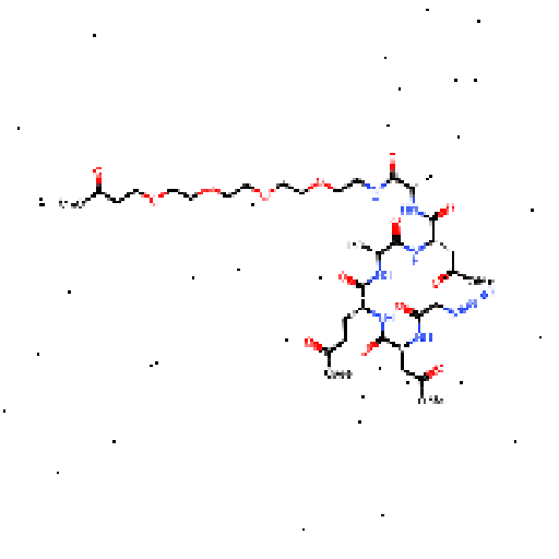 COC(=O)CCOCCOCCOCCOCCNC(=O)[C@H](C)NC(=O)[C@H](CC(=O)OC)NC(=O)[C@@H](NC(=O)[C@H](CCC(=O)OC)NC(=O)[C@H](CC(=O)OC)NC(=O)CN=[N+]=[N-])C(C)C